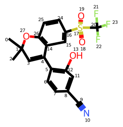 CC1(C)C=C(c2ccc(C#N)cc2O)c2cc(S(=O)(=O)C(F)(F)F)ccc2O1